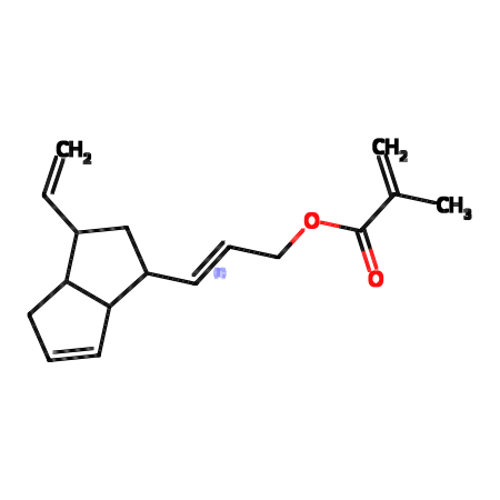 C=CC1CC(/C=C/COC(=O)C(=C)C)C2C=CCC12